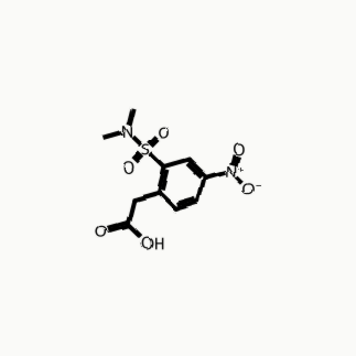 CN(C)S(=O)(=O)c1cc([N+](=O)[O-])ccc1CC(=O)O